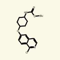 CC(C)(C)OC(=O)NC1CCC(Oc2ccc3c(Cl)nccc3c2)CC1